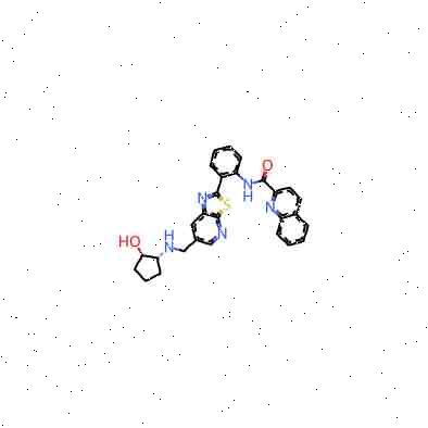 O=C(Nc1ccccc1-c1nc2cc(CN[C@@H]3CCC[C@H]3O)cnc2s1)c1ccc2ccccc2n1